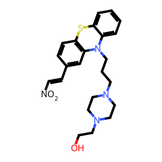 O=[N+]([O-])C=Cc1ccc2c(c1)N(CCCN1CCN(CCO)CC1)c1ccccc1S2